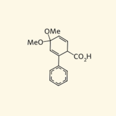 COC1(OC)C=CC(C(=O)O)C(c2ccccc2)=C1